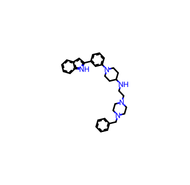 c1ccc(CN2CCN(CCNC3CCN(c4cccc(-c5cc6ccccc6[nH]5)c4)CC3)CC2)cc1